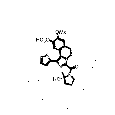 COc1cc2c(cc1C(=O)O)-c1c(-c3cccs3)nc(C(=O)N3CCC[C@]3(C)C#N)n1CC2